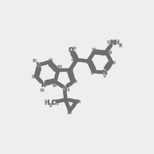 CC1(n2cc(C(=O)c3cncc(N)c3)c3cncnc32)CC1